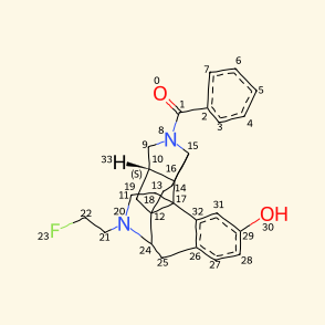 O=C(c1ccccc1)N1C[C@H]2CC34CCC1C2C31CCN(CCF)C4Cc2ccc(O)cc21